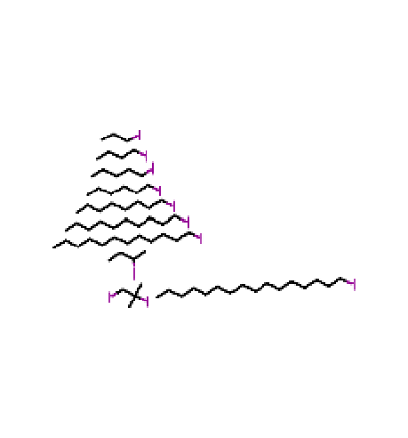 CC(C)(I)CI.CCC(C)I.CCCCCCCCCCCCCCCCI.CCCCCCCCCCCCI.CCCCCCCCCCI.CCCCCCCCI.CCCCCCI.CCCCCI.CCCCI.CCCI